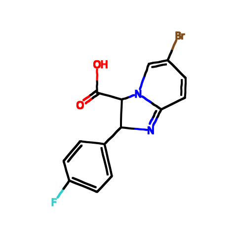 O=C(O)C1C(c2ccc(F)cc2)N=C2C=CC(Br)=CN21